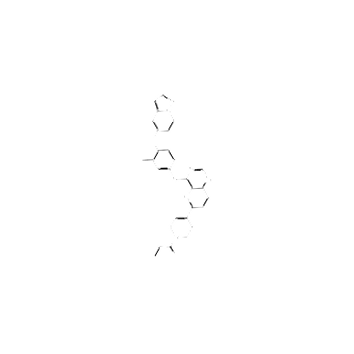 C=CC(=O)N1CC=C(c2ccc3ncnc(Nc4ccc(Oc5ccn6nccc6c5)c(C)c4)c3n2)CC1